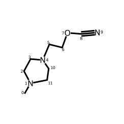 CN1CCN(CCOC#N)CC1